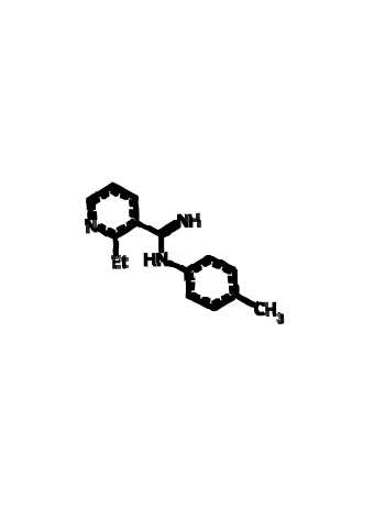 CCc1ncccc1C(=N)Nc1ccc(C)cc1